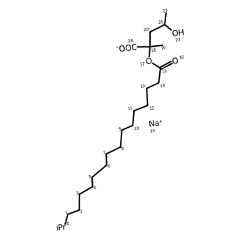 CC(C)CCCCCCCCCCCCCCC(=O)OC(C)(CC(C)O)C(=O)[O-].[Na+]